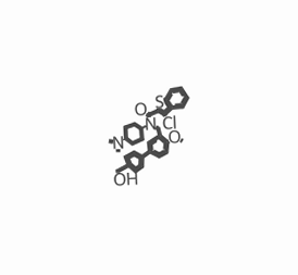 COc1ccc(-c2ccc(CO)cc2)cc1CN(C(=O)c1sc2ccccc2c1Cl)[C@H]1CC[C@H](N(C)C)CC1